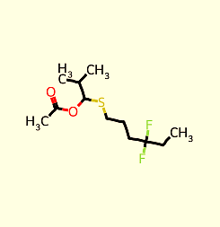 CCC(F)(F)CCCSC(OC(C)=O)C(C)C